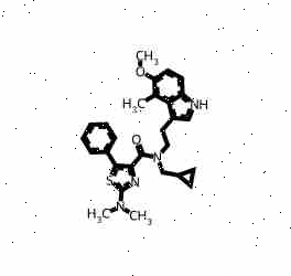 COc1ccc2[nH]cc(CCN(CC3CC3)C(=O)c3nc(N(C)C)sc3-c3ccccc3)c2c1C